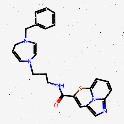 O=C(NCCCN1C=CCN(Cc2ccccc2)C=C1)C1=Cc2cnc3cccc(n23)S1